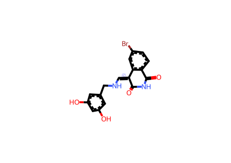 O=C1NC(=O)c2ccc(Br)cc2/C1=C/NCc1cc(O)cc(O)c1